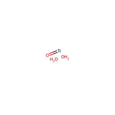 O.O.[O]=[Ti]